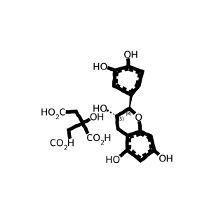 O=C(O)CC(O)(CC(=O)O)C(=O)O.Oc1cc(O)c2c(c1)O[C@H](c1ccc(O)c(O)c1)[C@@H](O)C2